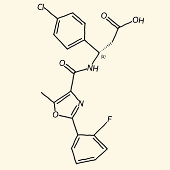 Cc1oc(-c2ccccc2F)nc1C(=O)N[C@@H](CC(=O)O)c1ccc(Cl)cc1